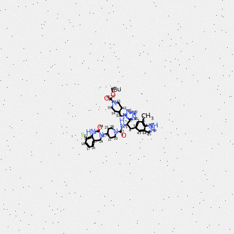 Cc1cc(CC(NC(=O)N2CCC(N3Cc4cccc(F)c4NC3=O)CC2)c2nnnn2CC2CCN(C(=O)OC(C)(C)C)CC2)cc2cn[nH]c12